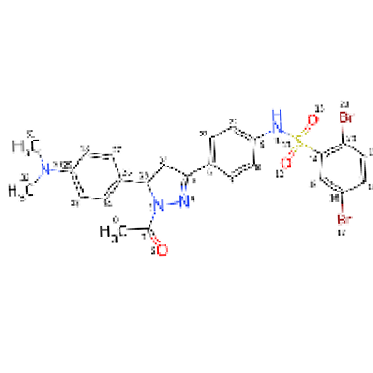 CC(=O)N1N=C(c2ccc(NS(=O)(=O)c3cc(Br)ccc3Br)cc2)CC1c1ccc(N(C)C)cc1